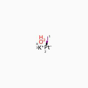 O.[I][Pt-].[K+]